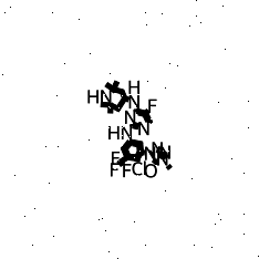 Cn1nnn(-c2cc(Nc3ncc(F)c(NC4CC(C)(C)NC(C)(C)C4)n3)cc(C(F)(F)F)c2Cl)c1=O